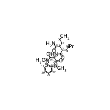 C=CC[C@H](C(N)=O)[C@@H](CC(C)C)C(=O)NC1C(=O)N(C)c2ccccc2N(C)C1=O